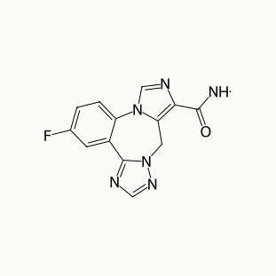 [NH]C(=O)c1ncn2c1Cn1ncnc1-c1cc(F)ccc1-2